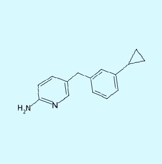 Nc1ccc(Cc2cccc(C3CC3)c2)cn1